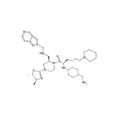 C[C@@H]1N=C(N2CCN(C(=O)[C@@H](CCCCN3CCCCC3)NC3CCC(CN)CC3)[C@H](CNCc3cc4cnccc4s3)C2)O[C@H]1C